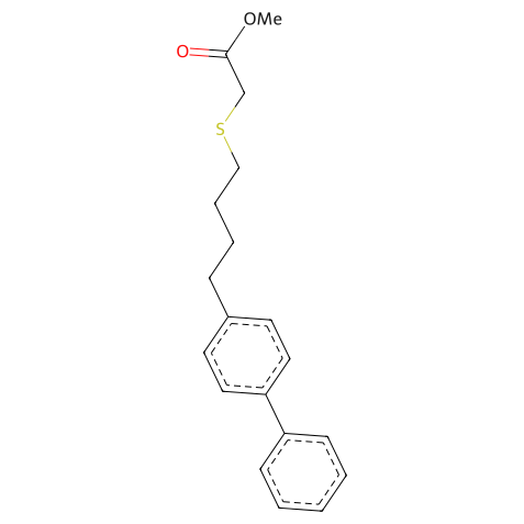 COC(=O)CSCCCCc1ccc(-c2ccccc2)cc1